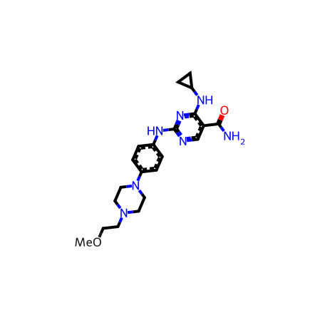 COCCN1CCN(c2ccc(Nc3ncc(C(N)=O)c(NC4CC4)n3)cc2)CC1